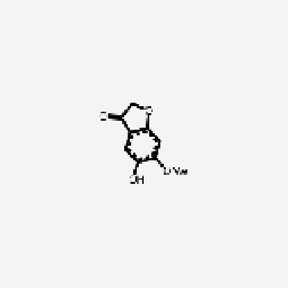 COc1cc2c(cc1O)C(=O)CO2